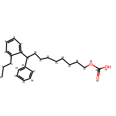 CCCc1ccccc1C(CCCCCCCCOC(=O)O)c1ccccc1